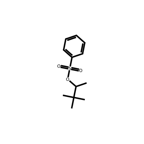 CC(OS(=O)(=O)c1ccccc1)C(C)(C)C